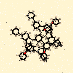 N#Cc1ccc2c(c1)c1cc(C#N)ccc1n2-c1c(-n2c3ccc(-c4ccccc4)cc3c3cc(-c4ccccc4)ccc32)nc(-n2c3ccc(-c4ccccc4)cc3c3cc(-c4ccccc4)ccc32)c(-n2c3ccc(C#N)cc3c3cc(C#N)ccc32)c1-c1cc(-c2ccccc2)cc(-c2ccccc2)c1